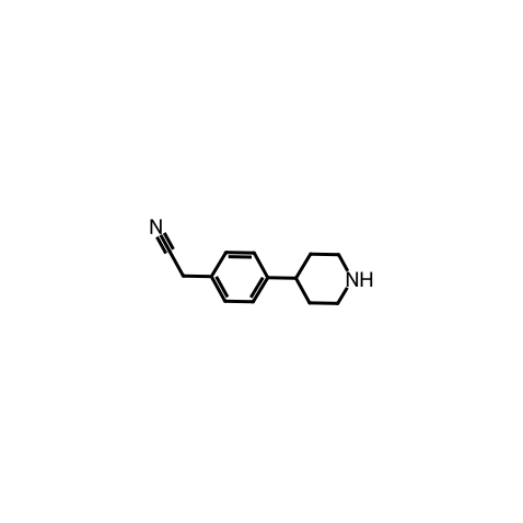 N#CCc1ccc(C2CCNCC2)cc1